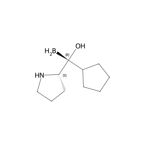 B[C@@](O)(C1CCCC1)[C@@H]1CCCN1